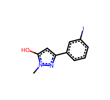 Cn1nc(-c2cccc(I)c2)cc1O